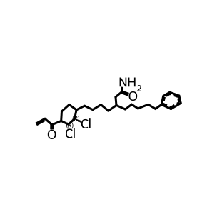 C=CC(=O)C1CCC(CCCCC(CCCCCc2ccccc2)CC(N)=O)[C@@H](Cl)[C@@H]1Cl